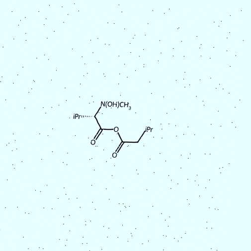 CC(C)CC(=O)OC(=O)[C@H](C(C)C)N(C)O